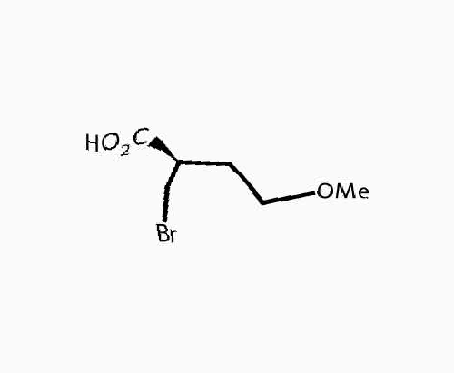 COCC[C@@H](Br)C(=O)O